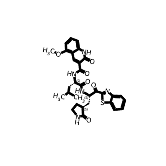 COc1cccc2[nH]c(=O)c(C(=O)N[C@@H](CC(C)C)C(=O)N[C@@H](C[C@@H]3CCNC3=O)C(=O)c3nc4ccccc4s3)cc12